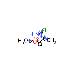 CN1CCC(COC(=O)c2ccccc2Cc2cn(C)nc2-c2cc(Cl)nc(N)n2)C1